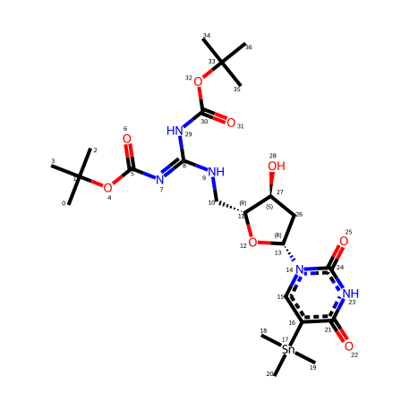 CC(C)(C)OC(=O)N=C(NC[C@H]1O[C@@H](n2c[c]([Sn]([CH3])([CH3])[CH3])c(=O)[nH]c2=O)C[C@@H]1O)NC(=O)OC(C)(C)C